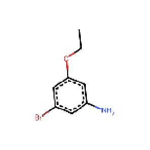 CCOc1cc(N)cc(Br)c1